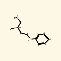 C[C@@H](CO)CCSc1ccccc1